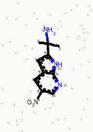 CC(C)(N)c1cc2cc([N+](=O)[O-])cnc2[nH]1